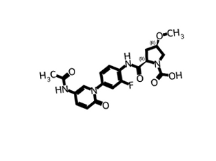 CO[C@@H]1C[C@H](C(=O)Nc2ccc(-n3cc(NC(C)=O)ccc3=O)cc2F)N(C(=O)O)C1